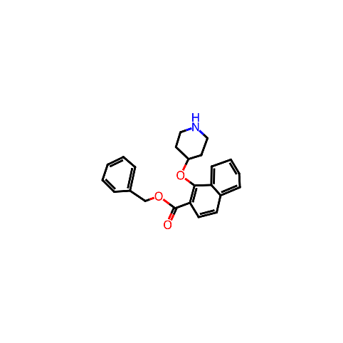 O=C(OCc1ccccc1)c1ccc2ccccc2c1OC1CCNCC1